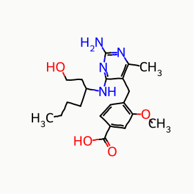 CCCCC(CCO)Nc1nc(N)nc(C)c1Cc1ccc(C(=O)O)cc1OC